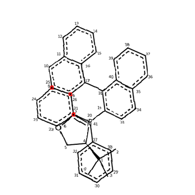 CC(C)(C)[C@H]1COC(c2ccc3ccccc3c2-c2c(P(c3ccccc3)c3ccccc3)ccc3ccccc23)=N1